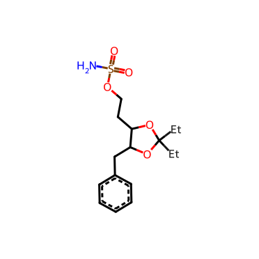 CCC1(CC)OC(CCOS(N)(=O)=O)C(Cc2ccccc2)O1